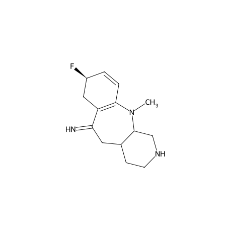 CN1C2=C(C[C@@H](F)C=C2)C(=N)CC2CCNCC21